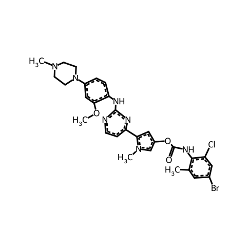 COc1cc(N2CCN(C)CC2)ccc1Nc1nccc(-c2cc(OC(=O)Nc3c(C)cc(Br)cc3Cl)cn2C)n1